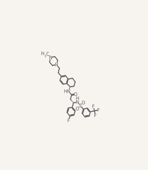 CN1CCN(CCc2ccc3c(c2)CCC[C@H]3NC(=O)C[C@@H](NS(=O)(=O)c2cccc(C(F)(F)F)c2)c2ccc(F)cc2)CC1